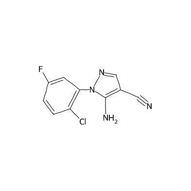 N#Cc1cnn(-c2cc(F)ccc2Cl)c1N